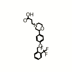 O=C(O)CCN1CCOC(c2ccc(OCc3ccccc3C(F)(F)F)cc2)C1